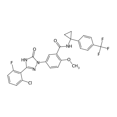 COc1ccc(-n2nc(-c3c(F)cccc3Cl)[nH]c2=O)cc1C(=O)NC1(c2ccc(C(F)(F)F)cc2)CC1